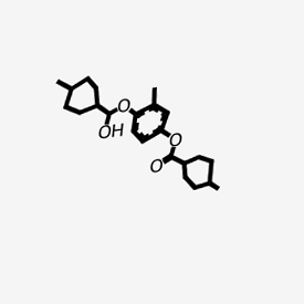 Cc1cc(OC(=O)C2CCC(C)CC2)ccc1OC(O)C1CCC(C)CC1